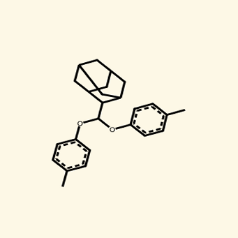 Cc1ccc(OC(Oc2ccc(C)cc2)C2C3CC4CC(C3)CC2C4)cc1